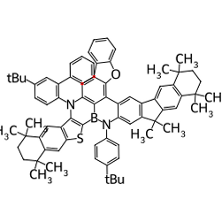 CC(C)(C)c1ccc(N2B3c4sc5cc6c(cc5c4N(c4ccc(C(C)(C)C)cc4-c4ccccc4)c4cc5c(oc7ccccc75)c(c43)-c3cc4c(cc32)C(C)(C)c2cc3c(cc2-4)C(C)(C)CCC3(C)C)C(C)(C)CCC6(C)C)cc1